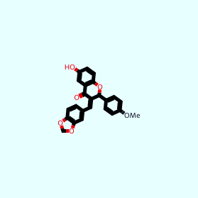 COc1ccc(C2Oc3ccc(O)cc3C(=O)C2=Cc2ccc3c(c2)OCO3)cc1